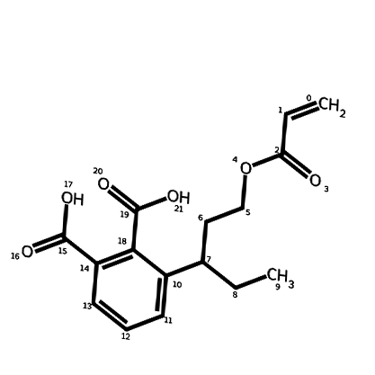 C=CC(=O)OCCC(CC)c1cccc(C(=O)O)c1C(=O)O